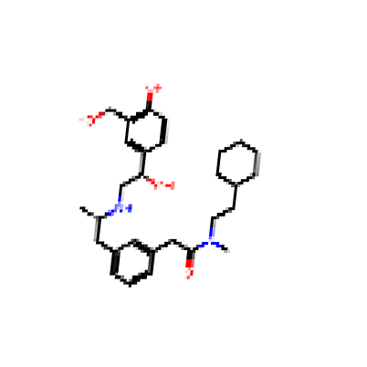 C[C@H](Cc1cccc(CC(=O)N(C)CCC2CCCCC2)c1)NC[C@H](O)c1ccc(O)c(CO)c1